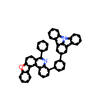 c1ccc(-c2nc3c(-c4cccc(-c5cc6c7ccccc7n7c8ccccc8c(c5)c67)c4)cccc3c3c2ccc2oc4ccccc4c23)cc1